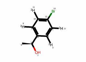 [2H]c1c([2H])c([C@H](C)O)c([2H])c([2H])c1Br